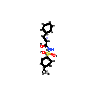 Cc1ccc(S(=O)(=O)NC(=O)/C=C/c2ccccc2)cc1